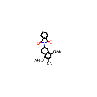 COc1cc(C#N)c(OC)c2c1CC(N1C(=O)c3ccccc3C1=O)CC2